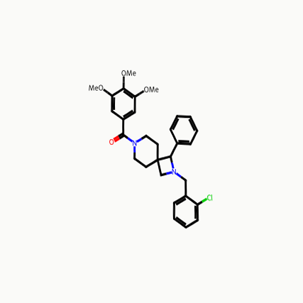 COc1cc(C(=O)N2CCC3(CC2)CN(Cc2ccccc2Cl)C3c2ccccc2)cc(OC)c1OC